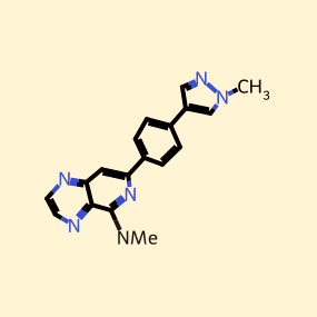 CNc1nc(-c2ccc(-c3cnn(C)c3)cc2)cc2nccnc12